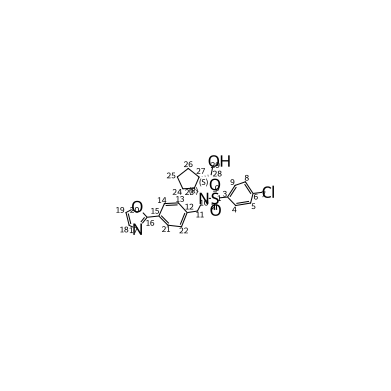 O=S(=O)(c1ccc(Cl)cc1)N(Cc1ccc(-c2ncco2)cc1)[C@@H]1CCC[C@@H]1CO